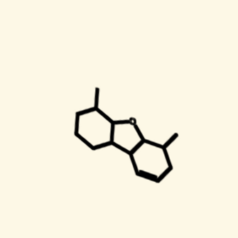 CC1CC=CC2C3CCCC(C)C3OC12